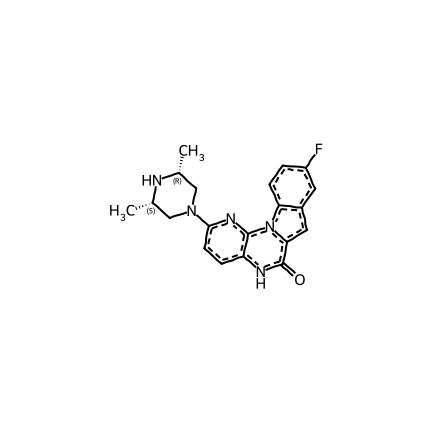 C[C@@H]1CN(c2ccc3[nH]c(=O)c4cc5cc(F)ccc5n4c3n2)C[C@H](C)N1